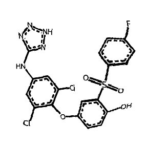 O=S(=O)(c1ccc(F)cc1)c1cc(Oc2c(Cl)cc(Nc3nn[nH]n3)cc2Cl)ccc1O